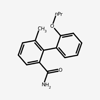 CCCOc1ccccc1-c1c(C)cccc1C(N)=O